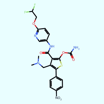 CN(C)Cc1c(-c2ccc([N+](=O)[O-])cc2)sc(OC(N)=O)c1C(=O)Nc1ccc(OCC(F)F)nc1